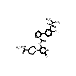 CNC(=O)C1CCN(c2cc(=O)[nH]cc2NC(=O)n2nccc2-c2ccc(N)c(S(=O)(=O)C(C)C)c2)CC1